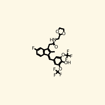 CC1=C(CC(=O)NCC2OCCO2)c2cc(F)ccc2C1=Cc1cc(OC(F)(F)F)c(O)c(OC(F)(F)F)c1